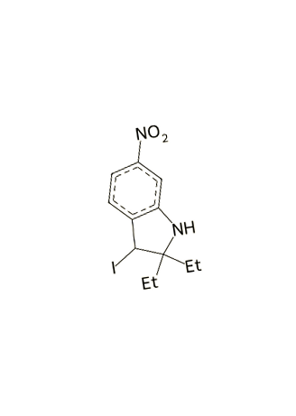 CCC1(CC)Nc2cc([N+](=O)[O-])ccc2C1I